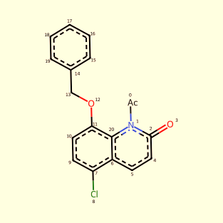 CC(=O)n1c(=O)ccc2c(Cl)ccc(OCc3ccccc3)c21